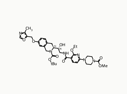 CCOc1nc(N2CCN(C(=O)OC)CC2)ccc1C(=O)NC[C@@H](O)[C@@H]1Cc2ccc(OCc3ocnc3C)cc2CN1C(=O)OC(C)(C)C